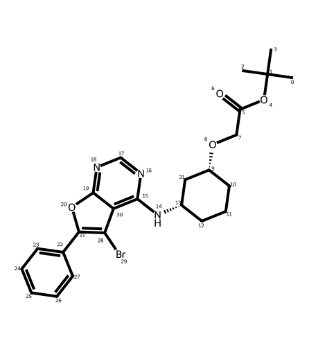 CC(C)(C)OC(=O)CO[C@@H]1CCC[C@H](Nc2ncnc3oc(-c4ccccc4)c(Br)c23)C1